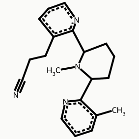 Cc1cccnc1C1CCCC(c2ncccc2CCC#N)N1C